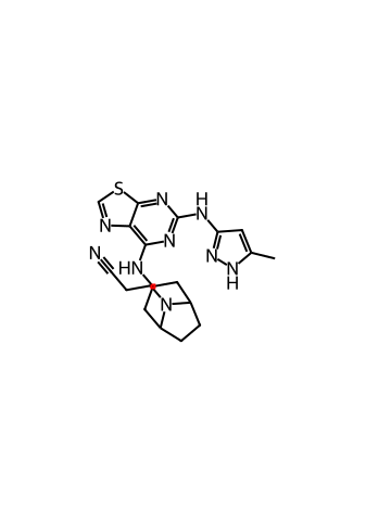 Cc1cc(Nc2nc(NC3CC4CCC(C3)N4CCC#N)c3ncsc3n2)n[nH]1